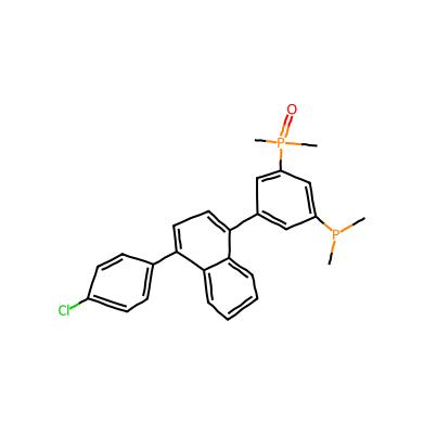 CP(C)c1cc(-c2ccc(-c3ccc(Cl)cc3)c3ccccc23)cc(P(C)(C)=O)c1